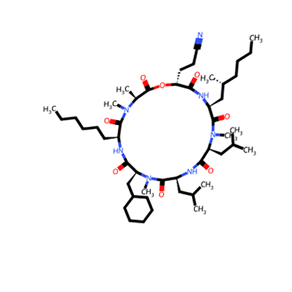 CCCCCC[C@@H]1NC(=O)[C@H](CC2CCCCC2)N(C)C(=O)[C@H](CC(C)C)NC(=O)[C@H](CC(C)C)N(C)C(=O)[C@H](C[C@H](C)CCCC)NC(=O)[C@@H](CCC#N)OC(=O)[C@H](C)N(C)C1=O